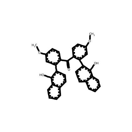 COc1ccc(C(=O)c2ccc(OC)cc2-c2ccc3ccccc3c2O)c(-c2ccc3ccccc3c2O)c1